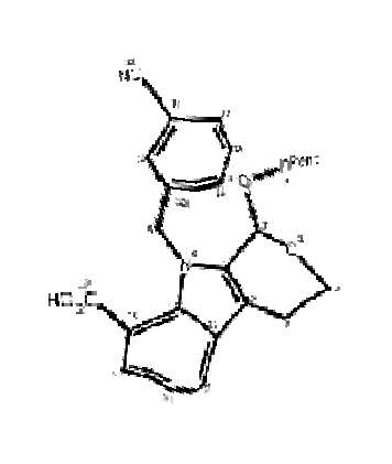 CCCCCOC1CCCc2c1n(Cc1cccc(C#N)c1)c1c(C(=O)O)cccc21